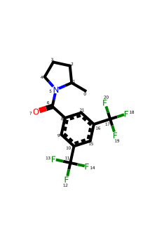 CC1CCCN1C(=O)c1cc(C(F)(F)F)cc(C(F)(F)F)c1